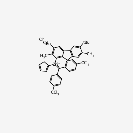 Cc1cc2c(cc1C(C)(C)C)-c1cc(C(C)(C)C)c(C)[c]([Zr+2]([C]3=CC=CC3)=[C](c3ccc(C(Cl)(Cl)Cl)cc3)c3ccc(C(Cl)(Cl)Cl)cc3)c1C2.[Cl-].[Cl-]